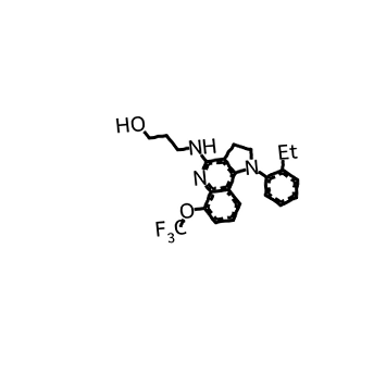 CCc1ccccc1N1CCc2c(NCCCO)nc3c(OC(F)(F)F)cccc3c21